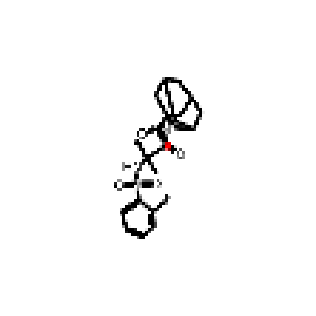 COC(=O)C12CC3CC(C1)C(NC(=O)C(C)(C)NS(=O)(=O)c1ccccc1F)C(C3)C2